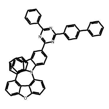 c1ccc(-c2ccc(-c3nc(-c4ccccc4)nc(-c4ccc5c(c4)c4ccccc4n5-c4cccc5oc6cccc(-c7ccccc7)c6c45)n3)cc2)cc1